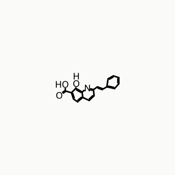 O=C(O)c1ccc2ccc(C=Cc3ccccc3)nc2c1O